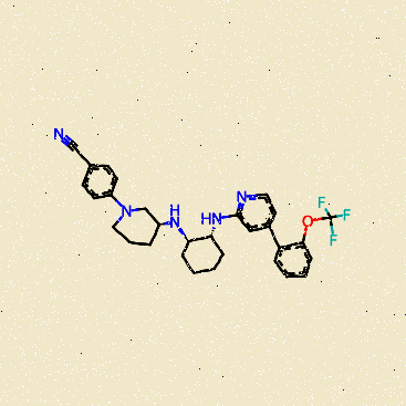 N#Cc1ccc(N2CCC[C@H](N[C@@H]3CCCC[C@H]3Nc3cc(-c4ccccc4OC(F)(F)F)ccn3)C2)cc1